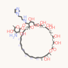 C[C@@H]1OC(=O)CC(O)CC(O)CCC(O)C(O)C[C@H](O)CC2(O)C[C@H](O)C(C(=O)NCCCn3ccnc3)[C@H](CC(O[C@@H]3O[C@H](C)[C@@H](O)[C@H](N)[C@@H]3O)/C=C/C=C/C=C/C=C/C=C/C=C/C=C/[C@H](C)C(O)[C@H]1C)O2